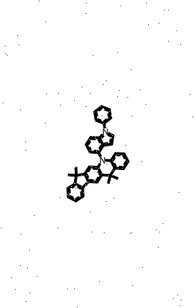 CC1(C)c2ccccc2-c2cc3c(cc21)N(c1cccc2c1ccn2-c1ccccc1)c1ccccc1C3(C)C